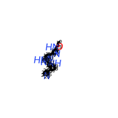 CCC(=O)Nc1cncc(-c2ccc3[nH]nc(-c4cc5c(-c6cccnc6)cccc5[nH]4)c3n2)c1